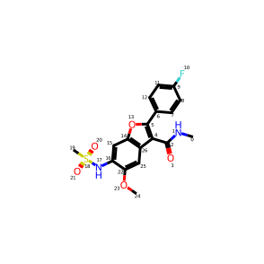 CNC(=O)c1c(-c2ccc(F)cc2)oc2cc(NS(C)(=O)=O)c(OC)cc12